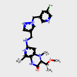 CO[C@H](C)[C@H]1C(=O)Nc2c(cc(NCc3cnn(Cc4cncc(F)c4)c3)nc2C)N1C